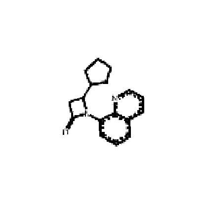 O=C1CC(C2CCCC2)N1c1cccc2cccnc12